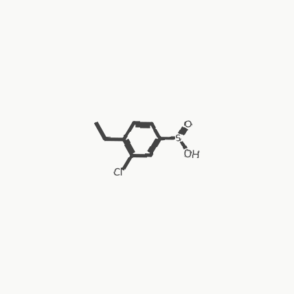 CCc1ccc(S(=O)O)cc1Cl